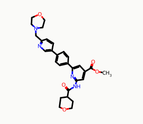 COC(=O)c1cc(NC(=O)C2CCOCC2)nc(-c2ccc(-c3ccc(CN4CCOCC4)nc3)cc2)c1